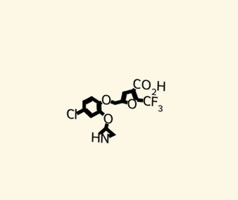 O=C(O)c1cc(COc2ccc(Cl)cc2OC2CNC2)oc1C(F)(F)F